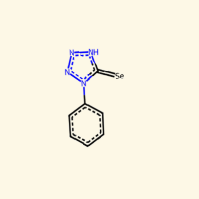 [Se]=c1[nH]nnn1-c1ccccc1